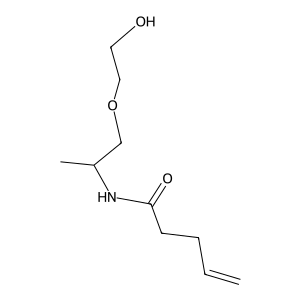 C=CCCC(=O)NC(C)COCCO